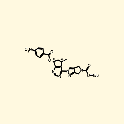 C[C@@H]1C[C@@H](OC(=O)c2ccc([N+](=O)[O-])cc2)c2ncnc(-n3cc4c(n3)CN(C(=O)OC(C)(C)C)C4)c21